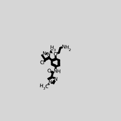 Cn1cnc(C(=O)Nc2ccc(OCCN)c(-c3c(Cl)cnn3C)c2)c1